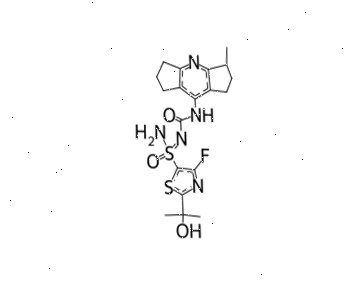 CC1CCc2c1nc1c(c2NC(=O)N=S(N)(=O)c2sc(C(C)(C)O)nc2F)CCC1